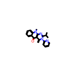 C=C1c2c(n(C)c3ccccc3c2=O)N=C(C(C)C)N1c1ccccn1